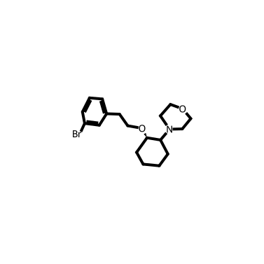 Brc1cccc(CCO[C@H]2CCCCC2N2CCOCC2)c1